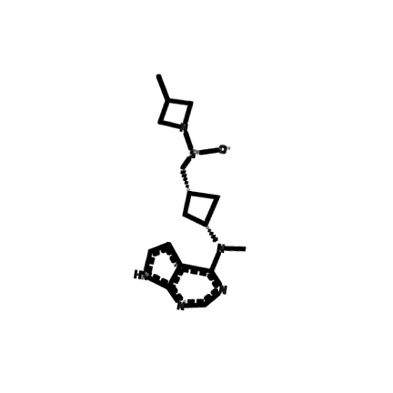 CC1CN([S+]([O-])C[C@H]2C[C@@H](N(C)c3ncnc4[nH]ccc34)C2)C1